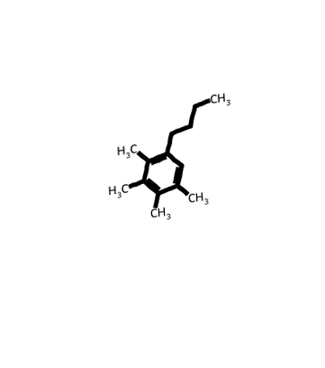 CCCCc1cc(C)c(C)c(C)c1C